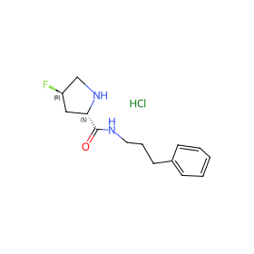 Cl.O=C(NCCCc1ccccc1)[C@@H]1C[C@@H](F)CN1